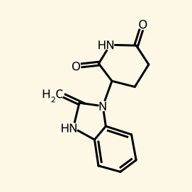 C=C1Nc2ccccc2N1C1CCC(=O)NC1=O